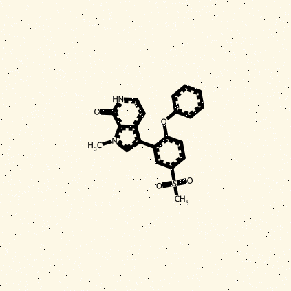 Cn1cc(-c2cc(S(C)(=O)=O)ccc2Oc2ccccc2)c2cc[nH]c(=O)c21